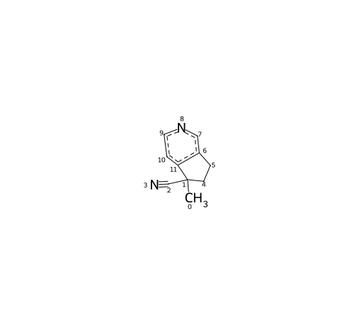 CC1(C#N)CCc2cnccc21